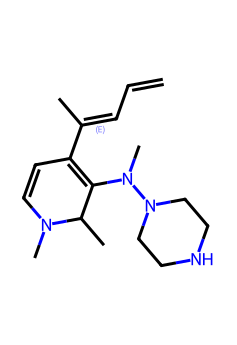 C=C/C=C(\C)C1=C(N(C)N2CCNCC2)C(C)N(C)C=C1